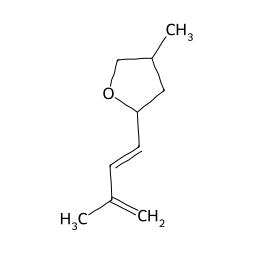 C=C(C)C=CC1CC(C)CO1